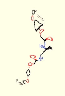 C=C(CCNC(=O)CO[C@H]1C[C@@H](OC(F)(F)F)C1)NC(=O)CO[C@H]1C[C@@H](OC(F)(F)F)C1